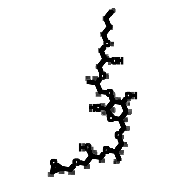 CCCCOCC(O)COC(C)COC1C(O)CC(COCC(C)OCC(O)COCC2CO2)O[C@H]1O